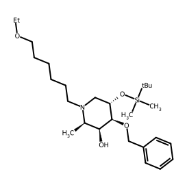 CCOCCCCCCN1C[C@H](O[Si](C)(C)C(C)(C)C)[C@@H](OCc2ccccc2)[C@@H](O)[C@H]1C